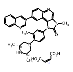 C[C@@H]1CN(c2ccc(-n3c(=O)n(C)c4cnc5ccc(-c6cnc7ccccc7c6)cc5c43)cc2C(F)(F)F)C[C@H](C)N1.O=C(O)/C=C\C(=O)O